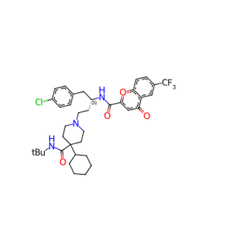 CC(C)(C)NC(=O)C1(C2CCCCC2)CCN(CC[C@H](Cc2ccc(Cl)cc2)NC(=O)c2cc(=O)c3cc(C(F)(F)F)ccc3o2)CC1